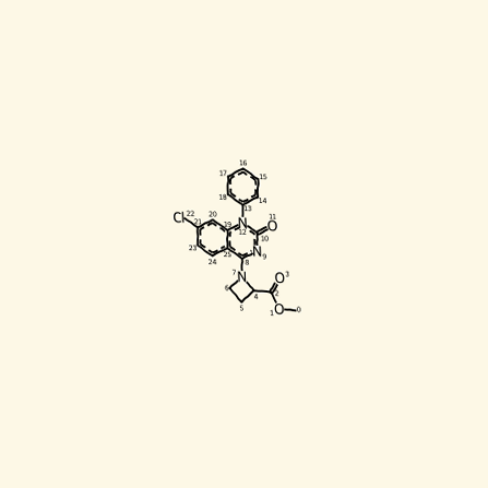 COC(=O)C1CCN1c1nc(=O)n(-c2ccccc2)c2cc(Cl)ccc12